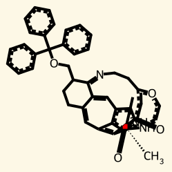 C[C@@H]1C(=O)/C2=C3/C=C4CCC(COC(c5ccccc5)(c5ccccc5)c5ccccc5)/C(=N/CCc5cc(c2[nH]cco5)C1=O)C4=Cc1c[nH]cc13